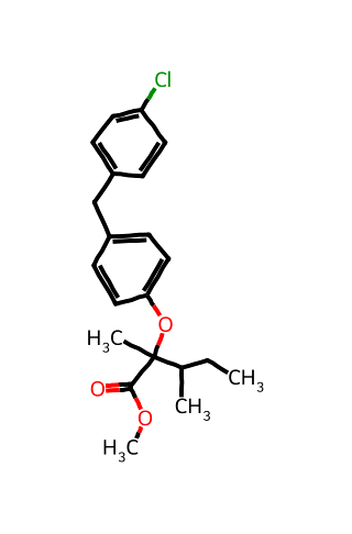 CCC(C)C(C)(Oc1ccc(Cc2ccc(Cl)cc2)cc1)C(=O)OC